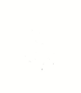 CCN(CC)c1cc(C(=O)OCCO)c(C)c(Br)c1N